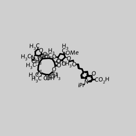 CC[C@H]1OC(=O)[C@H](C)[C@@H](OC2C[C@@](C)(OC)[C@@H](OCCOC=CCc3ccc4c(c3)c(=O)c(C(=O)O)cn4C(C)C)[C@H](C)O2)[C@H](C)[C@@H](O[C@@H]2O[C@H](C)C[C@H](N(C)C)[C@H]2O)[C@](C)(O)C[C@@H](C)CN(C)[C@H](C)[C@H](O)[C@]1(C)O